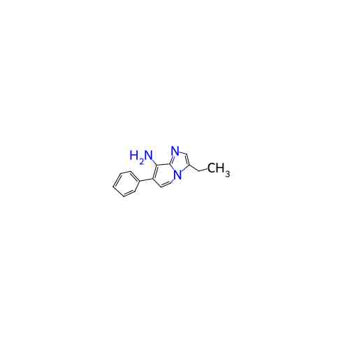 CCc1cnc2c(N)c(-c3ccccc3)ccn12